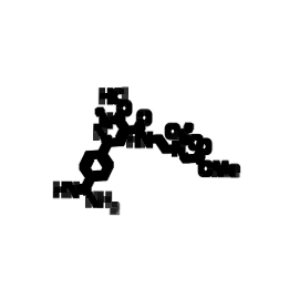 COC(=O)CN(CCNC(=O)c1cc(-c2ccc(C(=N)N)cc2)nn(C)c1=O)S(C)(=O)=O.Cl